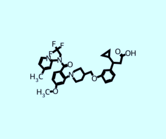 COc1ccc(C(=O)N(CC(F)(F)F)c2cc(C)ccn2)c(N2CCC(COc3cccc(C(CC(=O)O)C4CC4)c3)CC2)c1